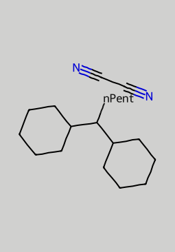 CCCCCC(C1CCCCC1)C1CCCCC1.N#CC#N